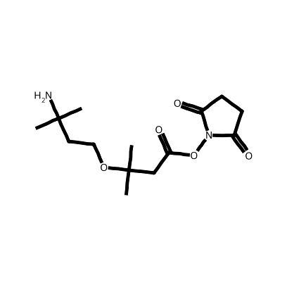 CC(C)(N)CCOC(C)(C)CC(=O)ON1C(=O)CCC1=O